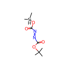 C[SiH](C)OC(=O)N=NC(=O)OC(C)(C)C